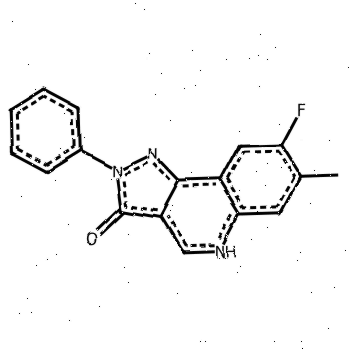 Cc1cc2[nH]cc3c(=O)n(-c4ccccc4)nc-3c2cc1F